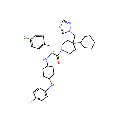 O=C([C@@H](Cc1ccc(Cl)cc1)NC1CCC(Nc2ccc(F)cc2)CC1)N1CCC(Cn2cncn2)(C2CCCCC2)CC1